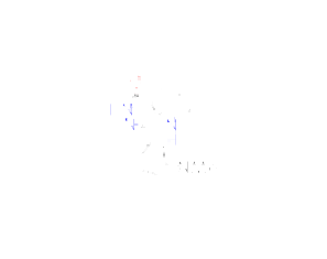 CNc1cccc(-c2n[nH]c(=O)c3c2NCCC3)c1